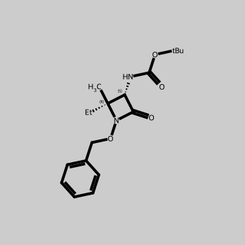 CC[C@]1(C)[C@H](NC(=O)OC(C)(C)C)C(=O)N1OCc1ccccc1